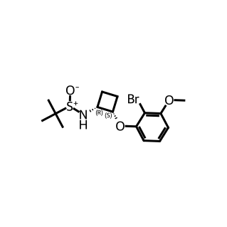 COc1cccc(O[C@H]2CC[C@H]2N[S+]([O-])C(C)(C)C)c1Br